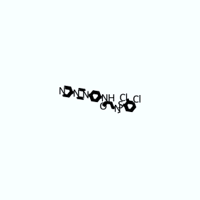 CN(CCC(=O)Nc1ccc(N2CCN(c3ccncc3)CC2)cc1)Sc1cccc(Cl)c1Cl